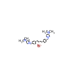 CN(C)c1cc[n+](Cc2ccc(C=CC=Cc3ccc(C[n+]4ccc(N(C)C)cc4)cc3)cc2)cc1.[Br-].[Br-]